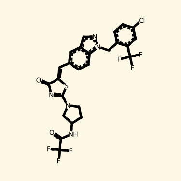 O=C1N=C(N2CCC(NC(=O)C(F)(F)F)C2)S/C1=C\c1ccc2c(cnn2Cc2ccc(Cl)cc2C(F)(F)F)c1